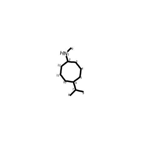 CNC1CCCC(C(C)C)CCC1